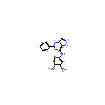 COc1ccc(Nc2nc(-c3ccccc3)nc3cn[nH]c23)cc1OC